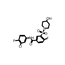 O=C(Nc1ccc(F)c(Cl)c1)c1ccc(F)c(S(=O)(=O)N2CCC(O)CC2)c1